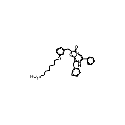 O=c1c(Cc2cccc(OCCCCCCS(=O)(=O)O)c2)nc2c(Cc3ccccc3)[nH]c(-c3ccccc3)cn1-2